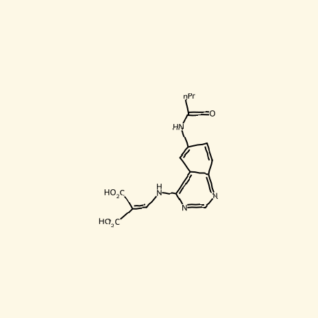 CCCC(=O)Nc1ccc2ncnc(NC=C(C(=O)O)C(=O)O)c2c1